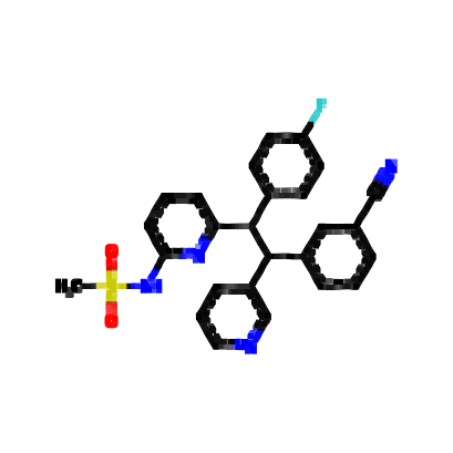 CS(=O)(=O)Nc1cccc(C(c2ccc(F)cc2)C(c2cccnc2)c2cccc(C#N)c2)n1